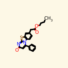 CCCCOC(=O)Cc1ccc2c(c1)sc1nc(=O)cc(-c3ccccc3)n12